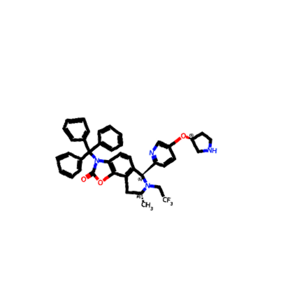 C[C@@H]1Cc2c(ccc3c2oc(=O)n3C(c2ccccc2)(c2ccccc2)c2ccccc2)[C@@H](c2ccc(O[C@H]3CCNC3)cn2)N1CC(F)(F)F